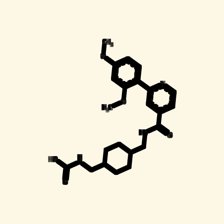 COc1ccc(-c2cc(C(=O)NCC3CCC(CNC(=O)O)CC3)ccn2)c(OC)c1